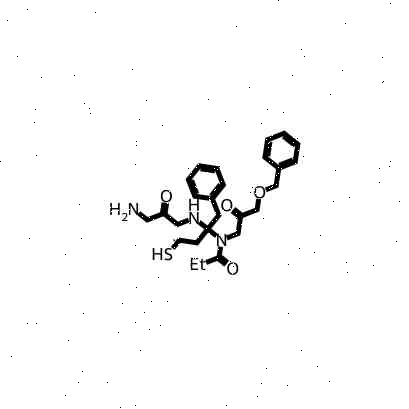 CCC(=O)N(CC(=O)COCc1ccccc1)C(C[CH]S)(Cc1ccccc1)NCC(=O)CN